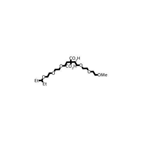 CCC(CC)OCCOCCOCCC(CCOCCOCCOC)(C(=O)O)C(=O)O